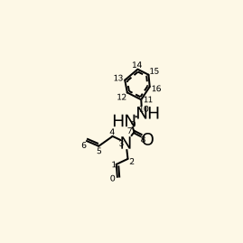 C=CCN(CC=C)C(=O)NNc1ccccc1